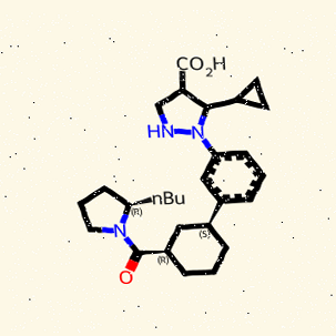 CCCC[C@@H]1CCCN1C(=O)[C@@H]1CCC[C@H](c2cccc(N3NCC(C(=O)O)C3C3CC3)c2)C1